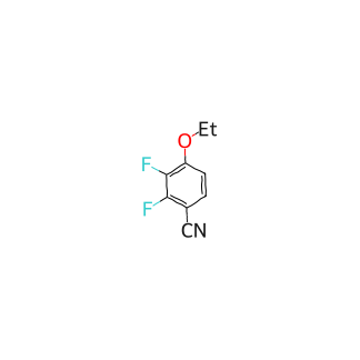 CCOc1ccc(C#N)c(F)c1F